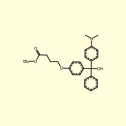 CN(C)c1ccc(C(O)(c2ccccc2)c2ccc(OCCCC(=O)OC(C)(C)C)cc2)cc1